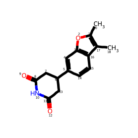 Cc1oc2cc(C3CC(=O)NC(=O)C3)ccc2c1C